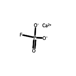 O=P([O-])([O-])F.[Ca+2]